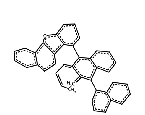 C=c1c(-c2cccc3ccccc23)c2ccccc2c(-c2cccc3oc4c5ccccc5ccc4c23)/c1=C/C=C\C